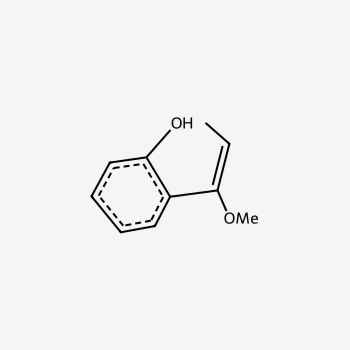 C/C=C(/OC)c1ccccc1O